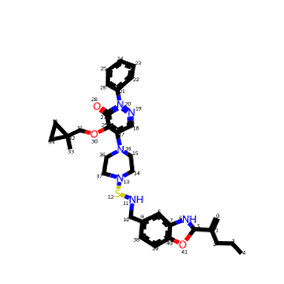 C=C(CCC)C1Nc2cc(CNSN3CCN(c4cnn(-c5ccccc5)c(=O)c4OCC4(C)CC4)CC3)ccc2O1